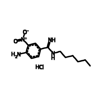 CCCCCCNC(=N)c1ccc(N)c([N+](=O)[O-])c1.Cl